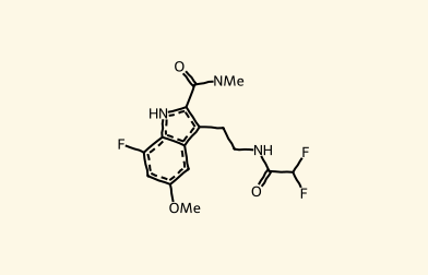 CNC(=O)c1[nH]c2c(F)cc(OC)cc2c1CCNC(=O)C(F)F